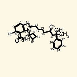 CC(=O)c1c(F)ccc2nc(CCCCC(=O)CC(C)(O)c3ccccc3)n(C3(C)CCC3)c12